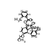 CCOc1ccc2c(c1)C(N)(c1ccccc1Cl)C(=O)N2OC(=O)c1ccccc1C